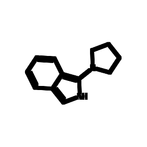 c1ccc2c(N3CCCC3)[nH]cc2c1